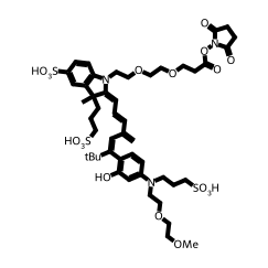 C=C(/C=C(\c1ccc(N(CCCS(=O)(=O)O)CCOCCOC)cc1O)C(C)(C)C)/C=C/C=C1/N(CCOCCOCCC(=O)ON2C(=O)CCC2=O)c2ccc(S(=O)(=O)O)cc2C1(C)CCCS(=O)(=O)O